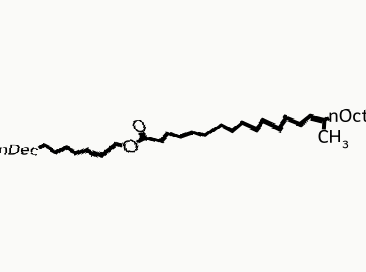 CCCCCCCCCCCCCCCCCOC(=O)CCCCCCCCCCCCCC=C(C)CCCCCCCC